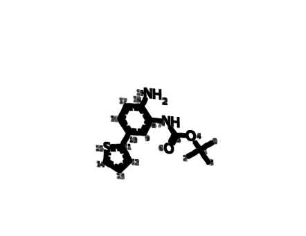 CC(C)(C)OC(=O)Nc1cc(-c2cccs2)ccc1N